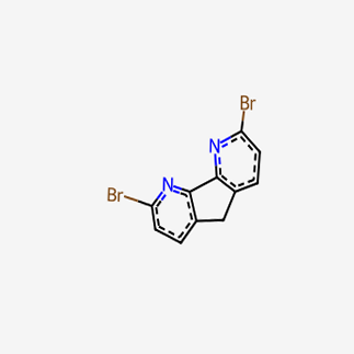 Brc1ccc2c(n1)-c1nc(Br)ccc1C2